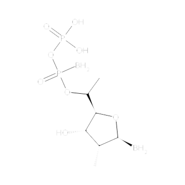 B[C@@H]1O[C@H](C(C)OP(B)(=O)OP(=O)(O)O)[C@@H](O)[C@H]1C